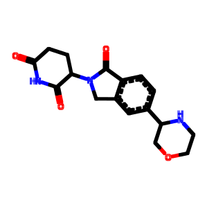 O=C1CCC(N2Cc3cc(C4COCCN4)ccc3C2=O)C(=O)N1